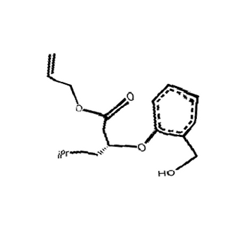 C=CCOC(=O)[C@@H](CC(C)C)Oc1ccccc1CO